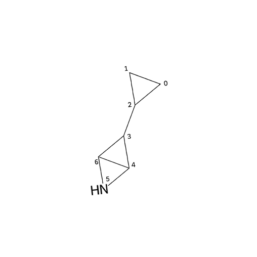 C1CC1C1C2NC21